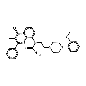 COc1ccccc1N1CCN(CCN(C(N)=O)c2cccc3c(=O)c(C)c(-c4ccccc4)oc23)CC1